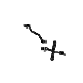 CS(C)(=O)=O.NCCO